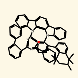 CC1CC(C)(C)c2c(-c3ccccc3-n3c4ccccc4c4ccc5c6ccccc6n(-c6nc(-c7ccccc7)nc(-c7ccccc7-c7ccccc7)n6)c5c43)cccc2C1(C)C